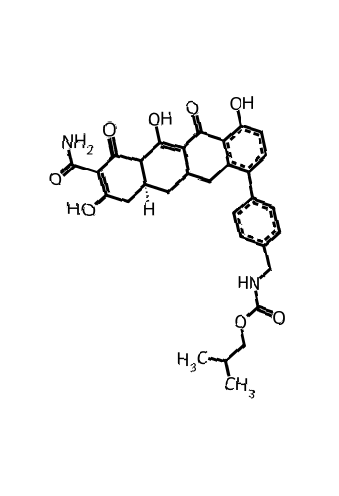 CC(C)COC(=O)NCc1ccc(-c2ccc(O)c3c2CC2C[C@H]4CC(O)=C(C(N)=O)C(=O)C4C(O)=C2C3=O)cc1